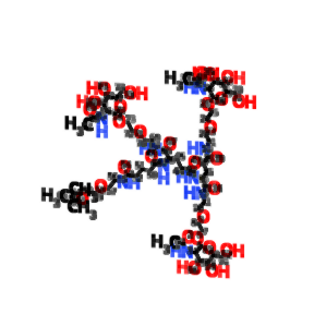 CC(=O)NC1C(OCCOCCNC(=O)C(CCC(=O)NCCOCCOC2OC(CO)C(O)C(O)C2NC(C)O)NC(=O)CCC(NC(=O)CCCC(=O)NCCOCCOC(C)(C)C)C(=O)NCCOCCOC2OC(CO)C(O)C(O)C2NC(C)=O)OC(CO)C(O)C1O